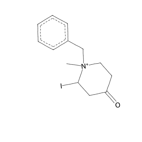 C[N+]1(Cc2ccccc2)CCC(=O)CC1I